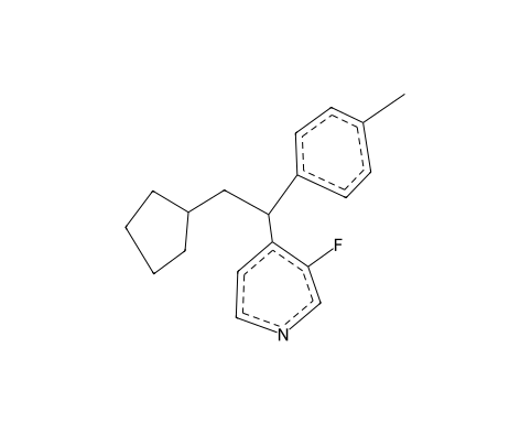 Cc1ccc(C(CC2CCCC2)c2ccncc2F)cc1